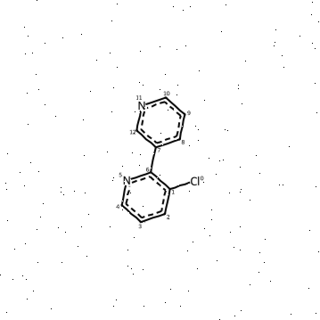 Clc1c[c]cnc1-c1cccnc1